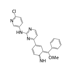 CO/C(=C1/C=C(c2ccnc(Nc3ccc(Cl)nc3)n2)C=CC1=N)c1ccccc1